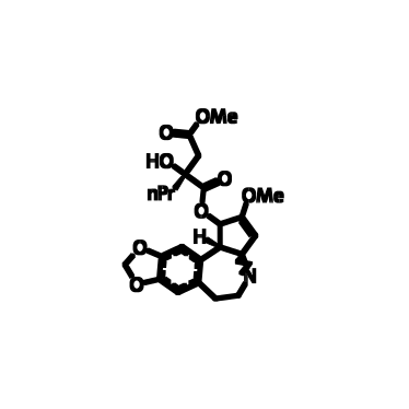 CCC[C@@](O)(CC(=O)OC)C(=O)OC1C(OC)=C[C@]23CCCN2CCc2cc4c(cc2[C@H]13)OCO4